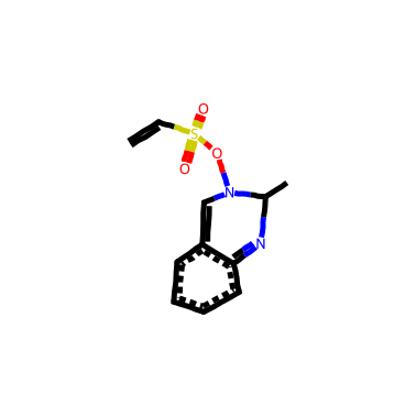 C=CS(=O)(=O)ON1C=c2ccccc2=NC1C